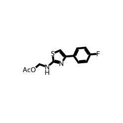 CC(=O)OCNc1nc(-c2ccc(F)cc2)cs1